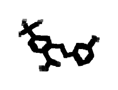 O=C(O)c1ccc(C(F)(F)F)cc1CCc1cccc(Br)c1